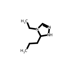 CCCC1NN=CN1CC